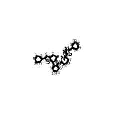 c1ccc(-c2cc3ccc4c(c5ccccc5n4-c4cccc(-c5nnc(-c6ccccc6)s5)n4)c3s2)cc1